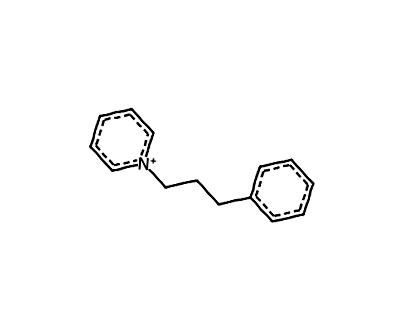 c1ccc(CCC[n+]2ccccc2)cc1